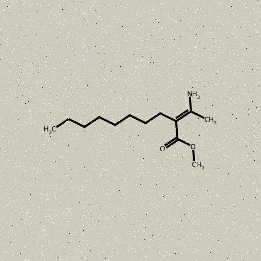 CCCCCCCCC(C(=O)OC)=C(C)N